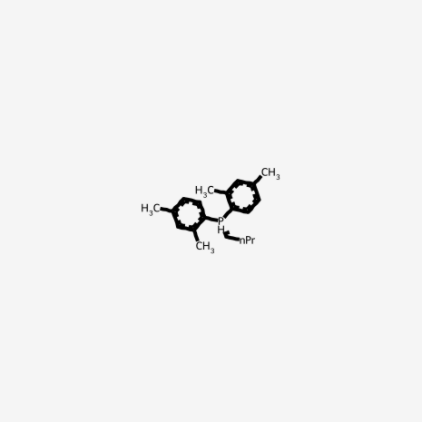 CCCC=[PH](c1ccc(C)cc1C)c1ccc(C)cc1C